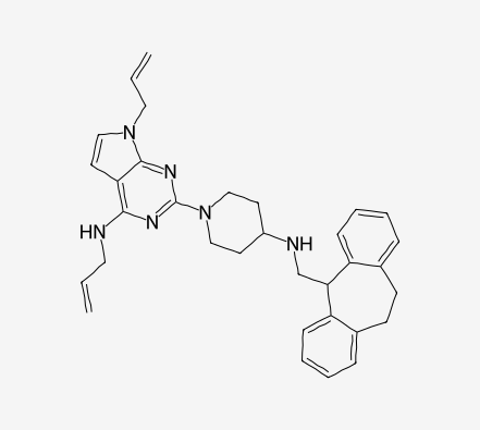 C=CCNc1nc(N2CCC(NCC3c4ccccc4CCc4ccccc43)CC2)nc2c1ccn2CC=C